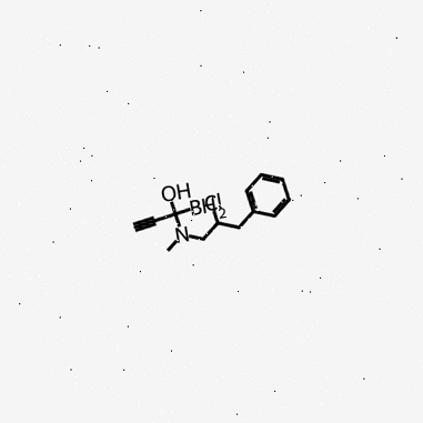 BC(O)(C#C)N(C)CC(Cl)Cc1ccccc1